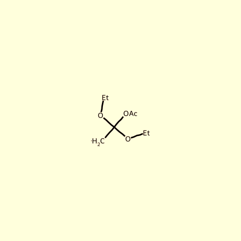 [CH2]C(OCC)(OCC)OC(C)=O